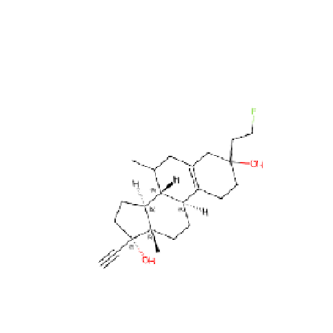 C#C[C@@]1(O)CC[C@H]2[C@@H]3C(C)CC4=C(CCC(O)(CCF)C4)[C@H]3CC[C@@]21C